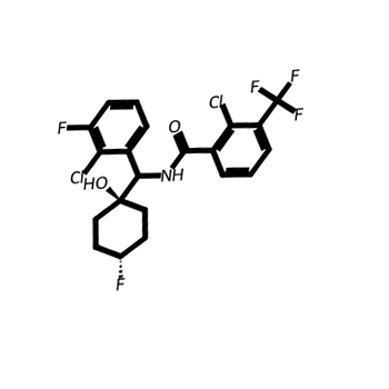 O=C(NC(c1cccc(F)c1Cl)[C@]1(O)CC[C@H](F)CC1)c1cccc(C(F)(F)F)c1Cl